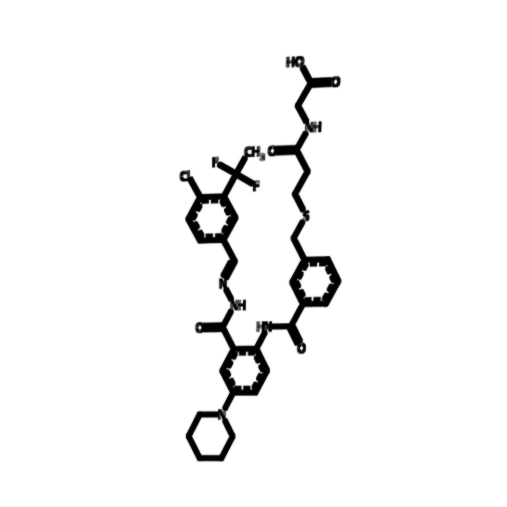 CC(F)(F)c1cc(/C=N/NC(=O)c2cc(N3CCCCC3)ccc2NC(=O)c2cccc(CSCCC(=O)NCC(=O)O)c2)ccc1Cl